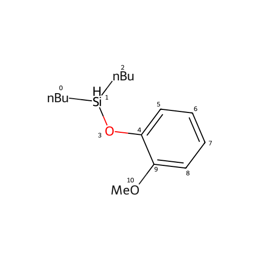 CCCC[SiH](CCCC)Oc1ccccc1OC